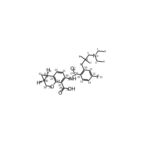 CCN(CC)CC(C)(C)Cc1cc(F)ccc1[S+]([O-])Nc1ccc2c(c1C(=O)O)OC[C@@H]1C[C@H]21